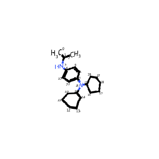 CC(C)Nc1ccc(N(C2CCCCC2)C2CCCCC2)cc1